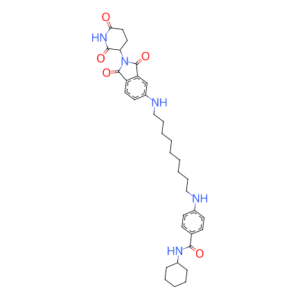 O=C1CCC(N2C(=O)c3ccc(NCCCCCCCCCNc4ccc(C(=O)NC5CCCCC5)cc4)cc3C2=O)C(=O)N1